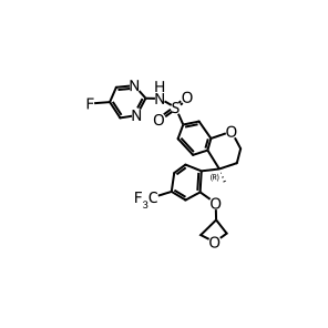 C[C@@]1(c2ccc(C(F)(F)F)cc2OC2COC2)CCOc2cc(S(=O)(=O)Nc3ncc(F)cn3)ccc21